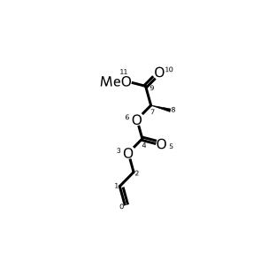 C=CCOC(=O)O[C@H](C)C(=O)OC